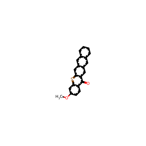 COc1ccc2c(=O)c3cc4cc5ccccc5cc4cc3sc2c1